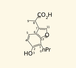 CCCc1c(O)ccc2c(C(C)C(=O)O)coc12